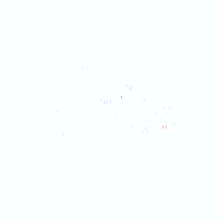 CNC[C@H]1C2=C(C[C@H](c3ccccc3)C1CNC1CC(c3ccccc3)Cc3ccccc31)C(O)(OC)C(O)(OC)C=C2